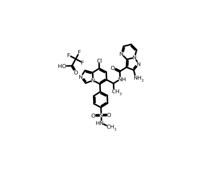 CNS(=O)(=O)c1ccc(-c2c(C(C)NC(=O)c3c(N)nn4cccnc34)cc(Cl)c3cncn23)cc1.O=C(O)C(F)(F)F